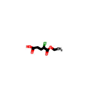 CCOC(=O)C(Cl)CCC(=O)O